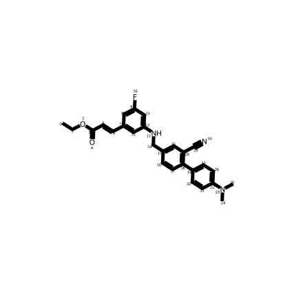 CCOC(=O)/C=C/c1cc(F)cc(NCc2ccc(-c3ccc(N(C)C)cc3)c(C#N)c2)c1